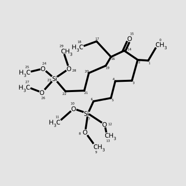 CCC(CCCC[Si](OC)(OC)OC)C(=O)C(CC)CCCC[Si](OC)(OC)OC